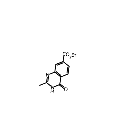 CCOC(=O)c1ccc2c(=O)[nH]c(C)nc2c1